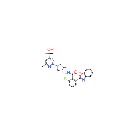 Cc1cc(C(C)(C)O)nc(N2CC3CN(C(=O)c4c(F)cccc4-c4nc5ccccc5o4)CC3C2)n1